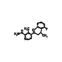 Cc1c(OCC(C)c2c(F)cccc2Cl)ccnc1NN